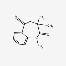 CN1C(=O)C(C)(C)CC(=O)c2ccccc21